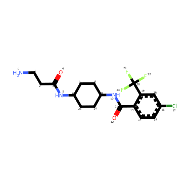 NCCC(=O)NC1CCC(NC(=O)c2ccc(Cl)cc2C(F)(F)F)CC1